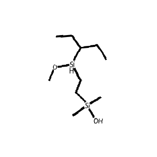 CCC(CC)[SiH](CC[Si](C)(C)O)OC